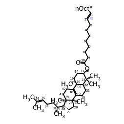 CCCCCCCC/C=C/CCCCCCCC(=O)OC1CC[C@]2(C)C3=C(CCC2C1(C)C)[C@]1(C)CC[C@H]([C@H](C)CCC=C(C)C)[C@@]1(C)CC3